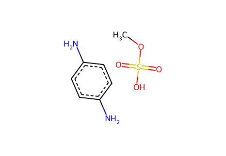 COS(=O)(=O)O.Nc1ccc(N)cc1